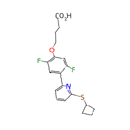 O=C(O)CCCOc1cc(F)c(-c2cccc(SC3CCC3)n2)cc1F